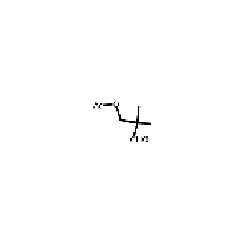 CC(=O)OCC(C)(C)[C]=O